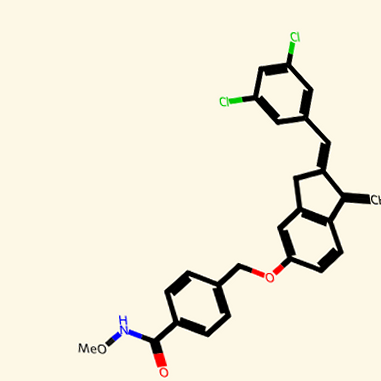 C=C1/C(=C/c2cc(Cl)cc(Cl)c2)Cc2cc(OCc3ccc(C(=O)NOC)cc3)ccc21